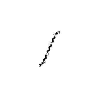 N#CSCCCOCCCCOCCCN=C=S